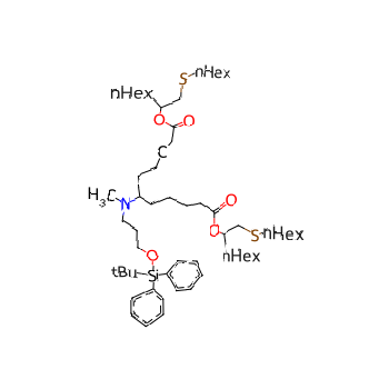 CCCCCCSCC(CCCCCC)OC(=O)CCCCC(CCCCC(=O)OC(CCCCCC)CSCCCCCC)N(C)CCCO[Si](c1ccccc1)(c1ccccc1)C(C)(C)C